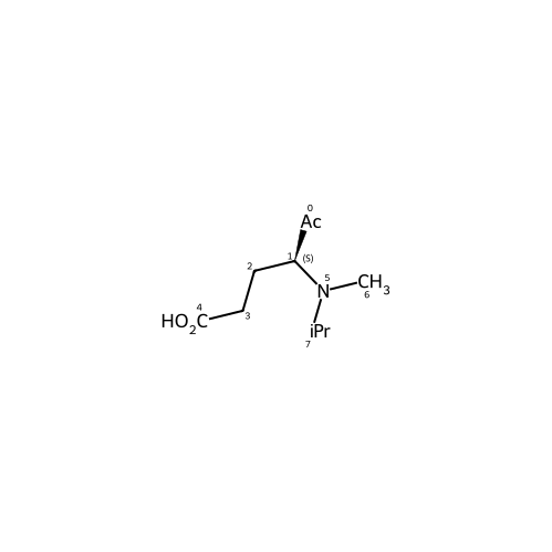 CC(=O)[C@H](CCC(=O)O)N(C)C(C)C